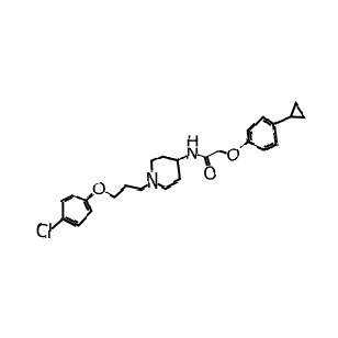 O=C(COc1ccc(C2CC2)cc1)NC1CCN(CCCOc2ccc(Cl)cc2)CC1